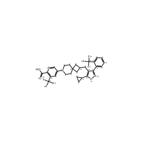 O=C(O)c1ncc(N2CCC3(CC2)CC(Cc2c(-c4ccccc4C(F)(F)F)noc2C2CC2)C3)cc1C(F)(F)F